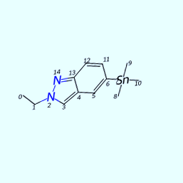 CCn1cc2c[c]([Sn]([CH3])([CH3])[CH3])ccc2n1